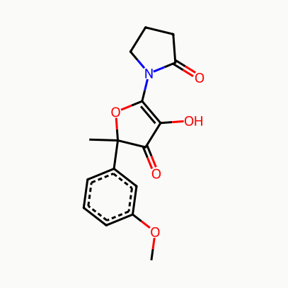 COc1cccc(C2(C)OC(N3CCCC3=O)=C(O)C2=O)c1